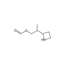 CC(COC=O)C1CCN1